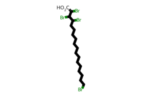 O=C(O)C(Br)C(Br)C(Br)CCCCCCCCCCCCCCBr